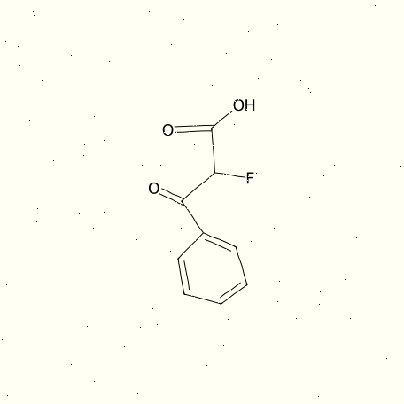 O=C(O)C(F)C(=O)c1ccccc1